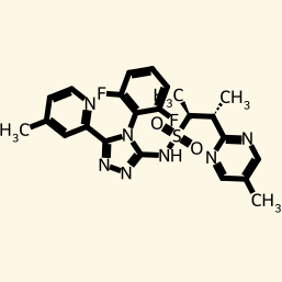 Cc1cnc([C@@H](C)[C@H](C)S(=O)(=O)Nc2nnc(-c3cc(C)ccn3)n2-c2c(F)cccc2F)nc1